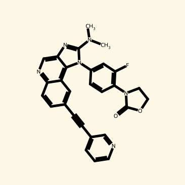 CN(C)c1nc2cnc3ccc(C#Cc4cccnc4)cc3c2n1-c1ccc(N2CCOC2=O)c(F)c1